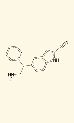 CNCC(c1ccccc1)c1ccc2[nH]c(C#N)cc2c1